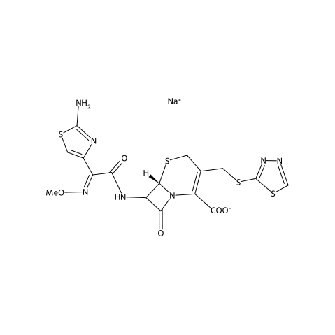 CON=C(C(=O)NC1C(=O)N2C(C(=O)[O-])=C(CSc3nncs3)CS[C@@H]12)c1csc(N)n1.[Na+]